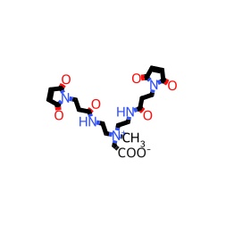 C[N+](CCNC(=O)CCN1C(=O)C=CC1=O)(CCNC(=O)CCN1C(=O)C=CC1=O)CC(=O)[O-]